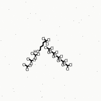 ClC(Cl)Cl.ClC(Cl)Cl.ClC(Cl)Cl.ClC(Cl)Cl.ClC(Cl)Cl.ClC(Cl)Cl.ClC(Cl)Cl.ClC(Cl)Cl.OCCCCC(Cl)(Cl)Cl